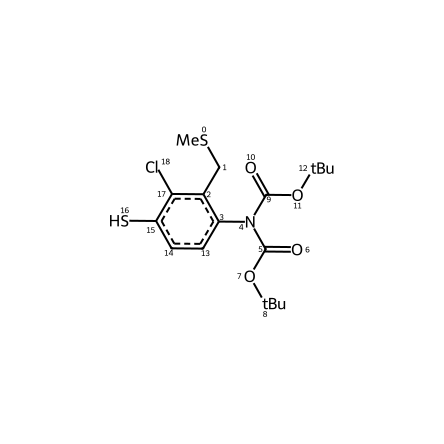 CSCc1c(N(C(=O)OC(C)(C)C)C(=O)OC(C)(C)C)ccc(S)c1Cl